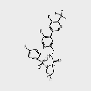 O=C(NCc1cc(-c2cnc(C(F)(F)F)c(F)c2)c(F)cn1)[C@H]1C[C@@H](F)CN1S(=O)(=O)c1ccc(F)cc1